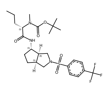 CCC[C@@H](C(=O)N[C@H]1CC[C@@H]2CN(S(=O)(=O)c3ccc(C(F)(F)F)cc3)C[C@@H]21)N(C)C(=O)OC(C)(C)C